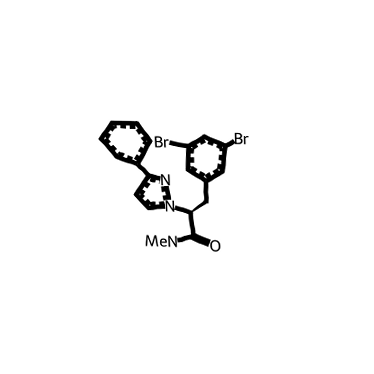 CNC(=O)[C@H](Cc1cc(Br)cc(Br)c1)n1ccc(-c2ccccc2)n1